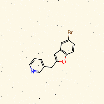 Brc1ccc2oc(Cc3cccnc3)cc2c1